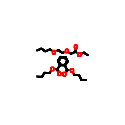 CCCCOC(=O)c1ccccc1C(=O)OCCCC.CCCCOCCOCC(=O)OCC